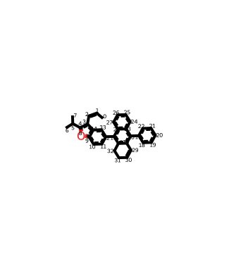 C/C=C\c1c(C(C)C)oc2ccc(-c3c4c(c(-c5ccccc5)c5ccccc35)C=CCC4)cc12